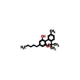 CCCCCc1cc(O)c(-c2cc(C)ccc2C(C)(C)C)c(O)c1